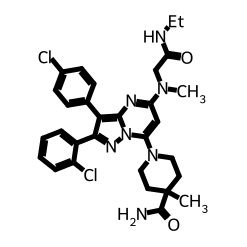 CCNC(=O)CN(C)c1cc(N2CCC(C)(C(N)=O)CC2)n2nc(-c3ccccc3Cl)c(-c3ccc(Cl)cc3)c2n1